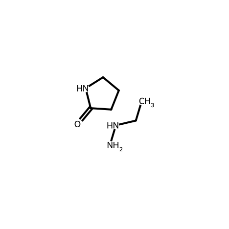 CCNN.O=C1CCCN1